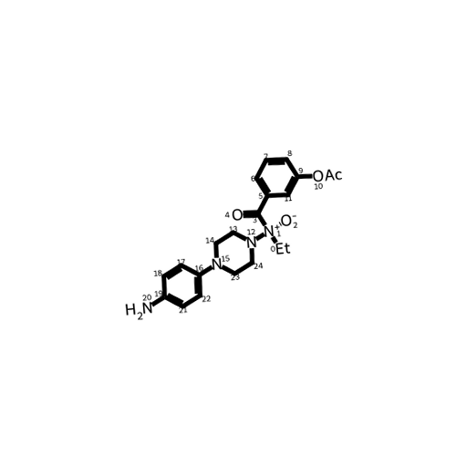 CC[N+]([O-])(C(=O)c1cccc(OC(C)=O)c1)N1CCN(c2ccc(N)cc2)CC1